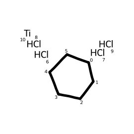 C1CCCCC1.Cl.Cl.Cl.Cl.[Ti]